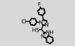 Fc1ccc(-c2cnc(C(S)c3nc4ccccc4[nH]3)n2-c2ccc(Cl)cc2)cc1